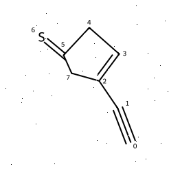 C#CC1=CCC(=S)C1